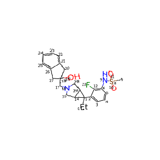 CCC1(c2cccc(NS(C)(=O)=O)c2F)C2CN(CC3(O)Cc4ccccc4C3)CC21